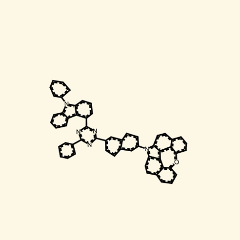 c1ccc(-c2nc(-c3ccc4cc(-n5c6ccc7cccc8oc9cccc%10ccc5c(c%109)c6c78)ccc4c3)nc(-c3cccc4c3c3ccccc3n4-c3ccccc3)n2)cc1